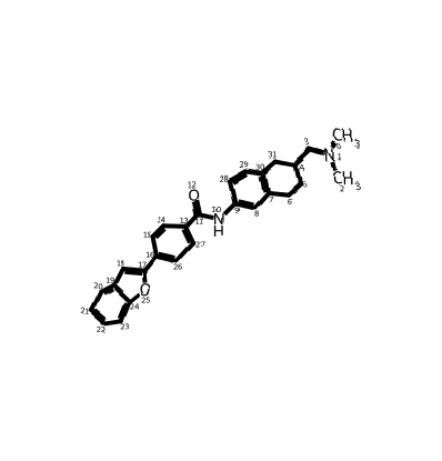 CN(C)CC1CCc2cc(NC(=O)c3ccc(-c4cc5ccccc5o4)cc3)ccc2C1